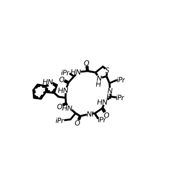 CC(C)CC1NC(=O)C(Cc2c[nH]c3ccccc23)NC(=O)C(C(C)C)NC(=O)C2CSC(N2)C(C(C)C)NC(C(C)C)NC(=O)C(C(C)C)NC1=O